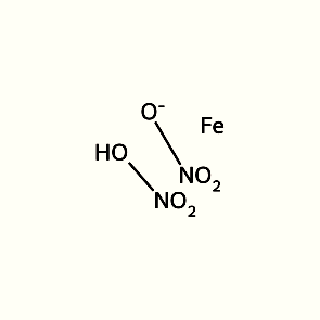 O=[N+]([O-])O.O=[N+]([O-])[O-].[Fe]